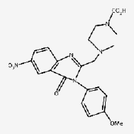 COc1ccc(-n2c(CN(C)CCN(C)C(=O)O)nc3ccc([N+](=O)[O-])cc3c2=O)cc1